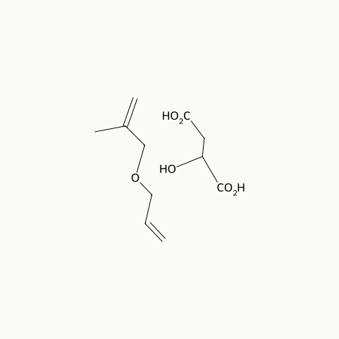 C=CCOCC(=C)C.O=C(O)CC(O)C(=O)O